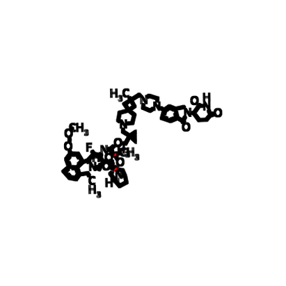 CCc1cccc2cc(OCOC)cc(-c3ncc4c(N5CC6CC[C@@H](C5)N6C(=O)OC(C)(C)C)nc(OCC5(CN6CCC7(CC6)CC(C)(CN6CCN(c8ccc9c(c8)CN(C8CCC(=O)NC8=O)C9=O)CC6)C7)CC5)nc4c3F)c12